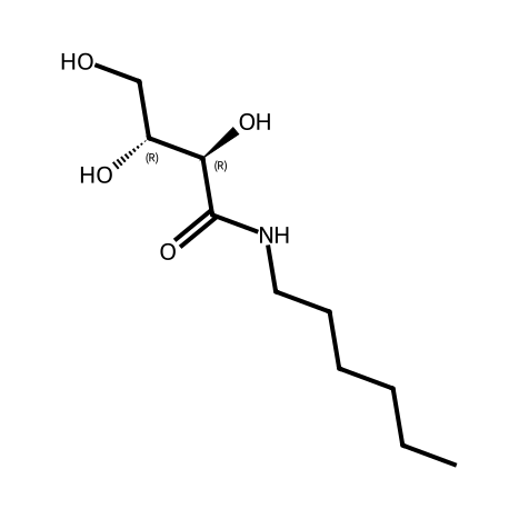 CCCCCCNC(=O)[C@H](O)[C@H](O)CO